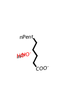 CCCCCCCCCC(=O)[O-].[In+3].[OH-].[OH-]